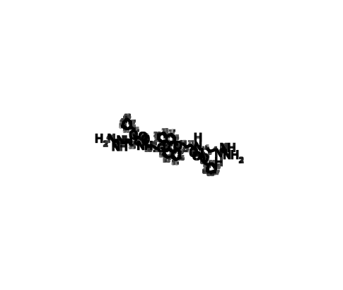 N=C(N)NCCC[C@@H](NC(=O)CCCOc1ccc2ccccc2c1-c1c(OCCCC(=O)N[C@H](CCCNC(=N)N)C(=O)OCc2ccccc2)ccc2ccccc12)C(=O)OCc1ccccc1